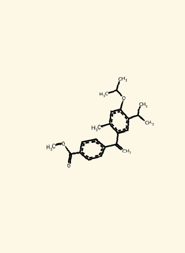 C=C(c1ccc(C(=O)OC)cc1)c1cc(C(C)C)c(OC(C)C)cc1C